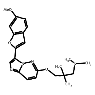 COc1ccc2cc(-c3cnc4ccc(OCC(C)(C)CN(C)C)nn34)oc2c1